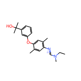 CCN(C)/C=N/c1cc(C)c(Oc2cccc(C(C)(C)O)c2)cc1C